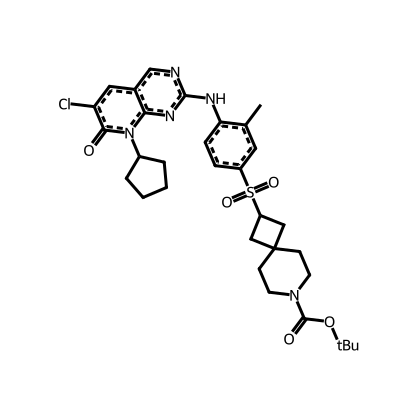 Cc1cc(S(=O)(=O)C2CC3(CCN(C(=O)OC(C)(C)C)CC3)C2)ccc1Nc1ncc2cc(Cl)c(=O)n(C3CCCC3)c2n1